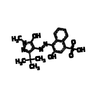 Cn1nc(C(C)(C)C)c(N=Nc2c(O)cc(S(=O)(=O)O)c3ccccc23)c1O